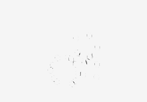 C1COCCOCCOCCO1.C1COCCOCCOCCOCCO1.C1COCCOCCOCCOCCOCCO1